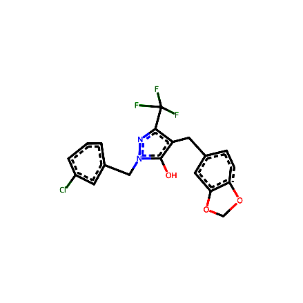 Oc1c(Cc2ccc3c(c2)OCO3)c(C(F)(F)F)nn1Cc1cccc(Cl)c1